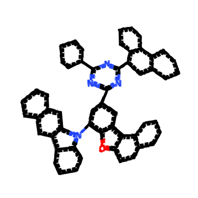 c1ccc(-c2nc(-c3cc(-n4c5ccccc5c5cc6ccccc6cc54)c4oc5ccc6ccccc6c5c4c3)nc(-c3cc4ccccc4c4ccccc34)n2)cc1